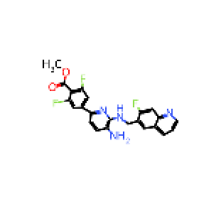 COC(=O)c1c(F)cc(-c2ccc(N)c(NCc3cc4cccnc4cc3F)n2)cc1F